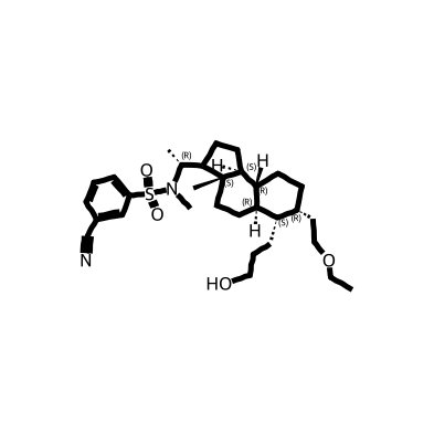 CCOCC[C@H]1CC[C@@H]2[C@H](CC[C@]3(C)C([C@@H](C)N(C)S(=O)(=O)c4cccc(C#N)c4)CC[C@@H]23)[C@H]1CCCO